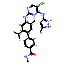 CNC(=O)c1ccc(-c2cc(C)c(Nc3ncc(Cl)c(Nc4cc(C)[nH]n4)n3)cc2C(C)C)cc1